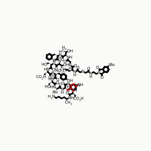 CC[C@H](C)[C@H](NC(=O)[C@H](CO)NC(=O)[C@H](Cc1ccc(O)cc1)NC(=O)[C@H](CC(=O)O)NC(=O)[C@H](CO)NC(=O)[C@@H](NC(=O)[C@H](Cc1ccccc1)NC(=O)[C@@H](NC(=O)CNC(=O)[C@H](CCC(=O)O)NC(=O)CSCC(=O)NCCN1C(=O)c2ccc(C(C)(C)C)cc2C1=O)[C@@H](C)O)[C@@H](C)O)C(=O)N[C@@H](Cc1ccc(O)cc1)C(=O)N[C@@H](CC(C)C)C(=O)N[C@@H](CC(=O)O)C(=O)N[C@H](C)CCCCN